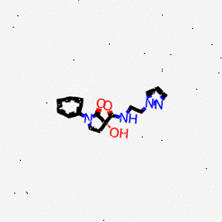 O=C(NCCn1cccn1)[C@@]1(O)CCN(c2ccccc2)C1=O